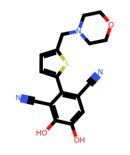 N#Cc1cc(O)c(O)c(C#N)c1-c1ccc(CN2CCOCC2)s1